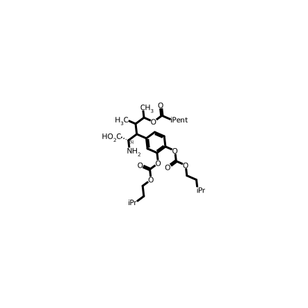 CCCC(C)C(=O)OC(C)C(C)C(c1ccc(OC(=O)OCCC(C)C)c(OC(=O)OCCC(C)C)c1)[C@H](N)C(=O)O